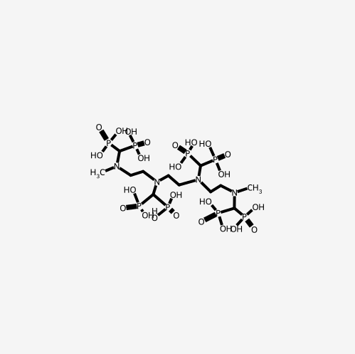 CN(CCN(CCN(CCN(C)C(P(=O)(O)O)P(=O)(O)O)C(P(=O)(O)O)P(=O)(O)O)C(P(=O)(O)O)P(=O)(O)O)C(P(=O)(O)O)P(=O)(O)O